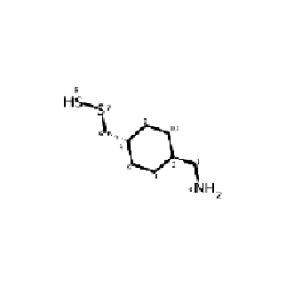 NC[C@H]1CC[C@H](CSS)CC1